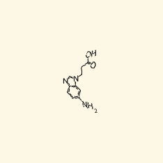 Nc1ccc2ncn(CCC(=O)O)c2c1